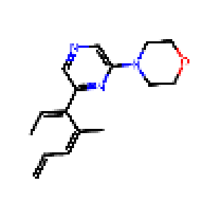 C=C/C=C(C)\C(=C/C)c1cncc(N2CCOCC2)n1